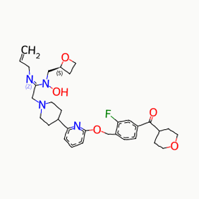 C=CC/N=C(/CN1CCC(c2cccc(OCc3ccc(C(=O)C4CCOCC4)cc3F)n2)CC1)N(O)C[C@@H]1CCO1